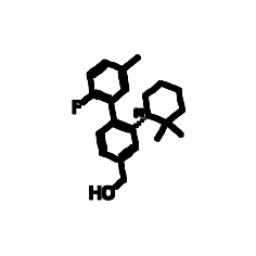 Cc1ccc(F)c(-c2ccc(CO)cc2[C@@H]2CCCCC2(C)C)c1